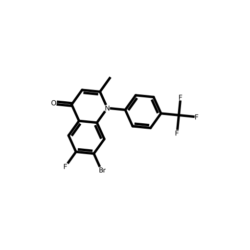 Cc1cc(=O)c2cc(F)c(Br)cc2n1-c1ccc(C(F)(F)F)cc1